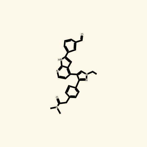 CCn1cc(-c2ccnc3[nH]c(-c4cccc(C=O)c4)cc23)c(-c2ccc(CC(=O)N(C)C)cc2)n1